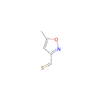 Cc1cc(C=S)no1